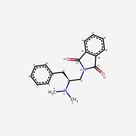 CN(C)[C@@H](Cc1ccccc1)CN1C(=O)c2ccccc2C1=O